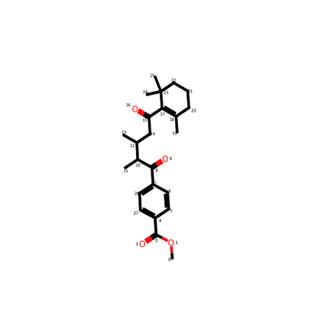 COC(=O)c1ccc(C(=O)C(C)C(C)CC(=O)C2=C(C)CCCC2(C)C)cc1